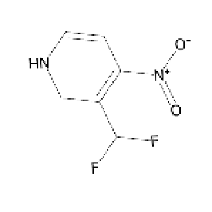 O=[N+]([O-])C1=C(C(F)F)CNC=C1